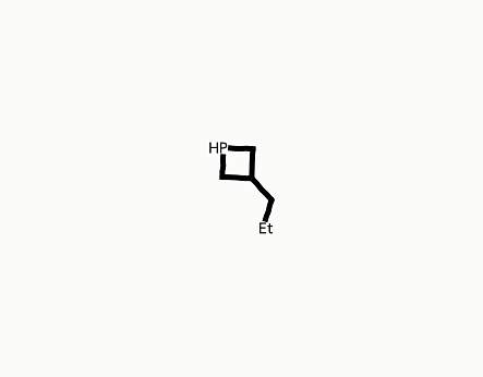 CCCC1CPC1